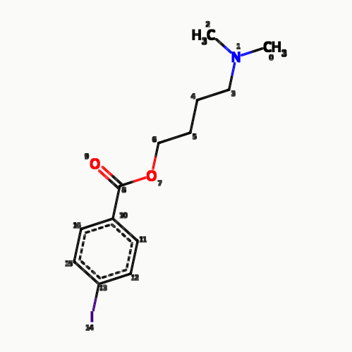 CN(C)CCCCOC(=O)c1ccc(I)cc1